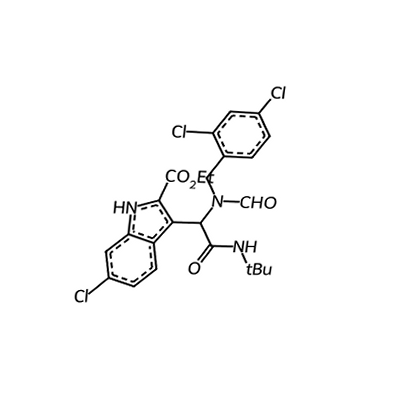 CCOC(=O)c1[nH]c2cc(Cl)ccc2c1C(C(=O)NC(C)(C)C)N(C=O)Cc1ccc(Cl)cc1Cl